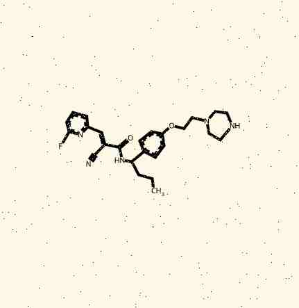 CCCC(NC(=O)/C(C#N)=C/c1cccc(F)n1)c1ccc(OCCN2CCNCC2)cc1